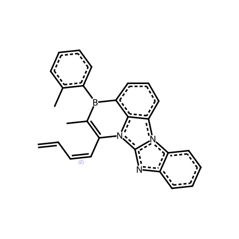 C=C/C=C\C1=C(C)B(c2ccccc2C)c2cccc3c2n1c1nc2ccccc2n31